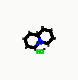 Cl.c1cc[n+]2ccccc2c1